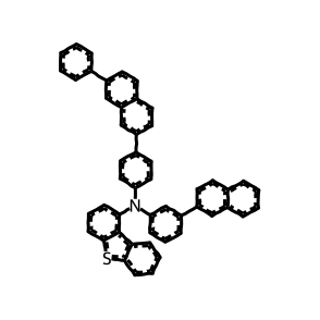 c1ccc(-c2ccc3ccc(-c4ccc(N(c5cccc(-c6ccc7ccccc7c6)c5)c5cccc6sc7ccccc7c56)cc4)cc3c2)cc1